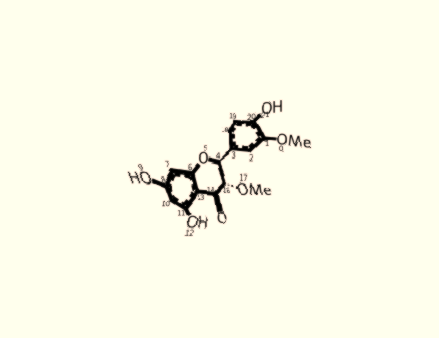 COc1cc([C@@H]2Oc3cc(O)cc(O)c3C(=O)[C@H]2OC)ccc1O